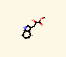 COC(=O)C(=O)Cc1c[nH]c2ccccc12